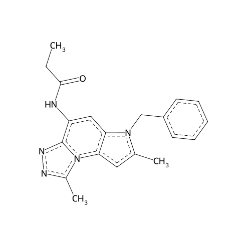 CCC(=O)Nc1cc2c(cc(C)n2Cc2ccccc2)n2c(C)nnc12